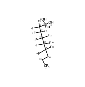 O[Si](O)(O)C(F)(F)C(F)(F)C(F)(F)C(F)(F)C(F)(F)CCC(F)(F)F